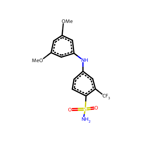 COc1cc(Nc2ccc(S(N)(=O)=O)c(C(F)(F)F)c2)cc(OC)c1